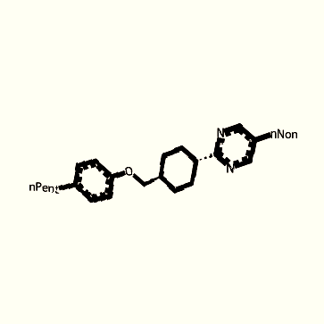 CCCCCCCCCc1cnc([C@H]2CC[C@H](COc3ccc(CCCCC)cc3)CC2)nc1